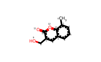 Cc1cccc2cc(CO)c(=O)oc12